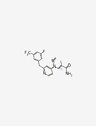 C=NN(/C=C(\C)C(N)=O)c1ccnc(Cc2cc(F)cc(C(F)(F)F)c2)c1